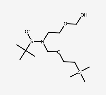 CC(C)(C)[S+]([O-])N(CCOCO)COCC[Si](C)(C)C